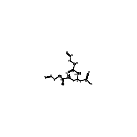 C=CCOC(=O)NCC(CC(C)=O)NC(=O)OCC=C